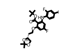 CC(C)(C)OC(=O)c1c(Nc2ccc(I)cc2F)cc(F)cc1OCC[C@@H]1COC(C)(C)O1